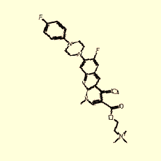 Cn1cc(C(=O)OCC[N+](C)(C)C)c(=O)c2cc3cc(F)c(N4CCN(c5ccc(F)cc5)CC4)cc3nc21